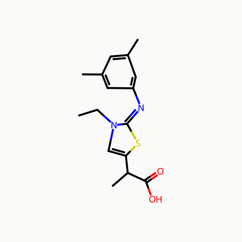 CCn1cc(C(C)C(=O)O)sc1=Nc1cc(C)cc(C)c1